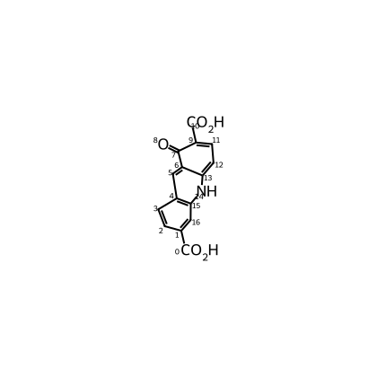 O=C(O)c1ccc2cc3c(=O)c(C(=O)O)ccc-3[nH]c2c1